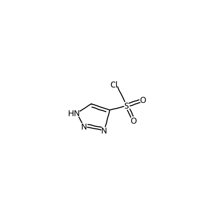 O=S(=O)(Cl)c1c[nH]nn1